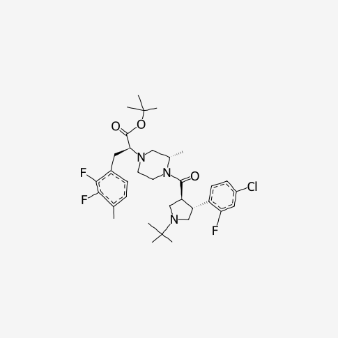 Cc1ccc(C[C@@H](C(=O)OC(C)(C)C)N2CCN(C(=O)[C@@H]3CN(C(C)(C)C)C[C@H]3c3ccc(Cl)cc3F)[C@@H](C)C2)c(F)c1F